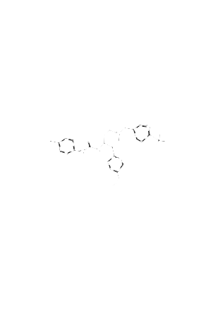 COc1ccc(C2CN(Cc3ccc(C(F)(F)F)nc3)CCC2NC(=O)Nc2ccc(Cl)cc2)nc1